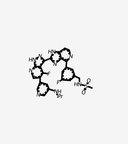 CC(C)Nc1cncc(-c2cnc3[nH]nc(-c4nc5c(-c6cc(F)cc(CNS(C)(=O)=O)c6)nccc5[nH]4)c3c2F)c1